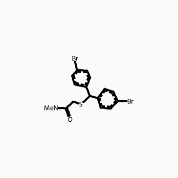 CNC(=O)CSC(c1ccc(Br)cc1)c1ccc(Br)cc1